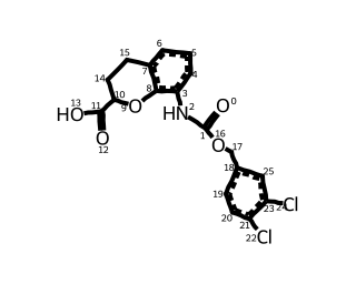 O=C(Nc1cccc2c1OC(C(=O)O)CC2)OCc1ccc(Cl)c(Cl)c1